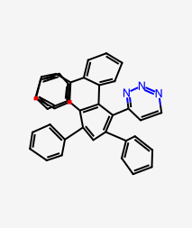 c1ccc(-c2ccccc2-c2c(-c3ccccc3)c(-c3ccccc3)cc(-c3ccccc3)c2-c2ccnnn2)cc1